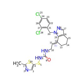 Cc1ncc(SNC(=O)NC/C=C2\CCCc3cnn(Cc4ccc(Cl)cc4Cl)c32)s1